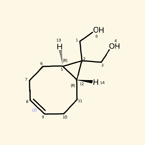 OCC1(CO)[C@@H]2CC/C=C\CC[C@H]21